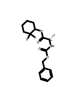 C[C@H](NC(=O)OCc1ccccc1)C(=O)OC1CCCCC1(F)F